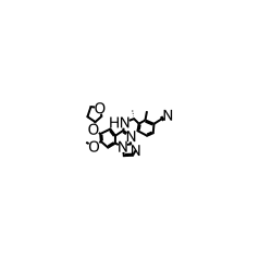 COc1cc2c(cc1OC1CCOC1)c(N[C@H](C)c1cccc(C#N)c1C)nc1nccn12